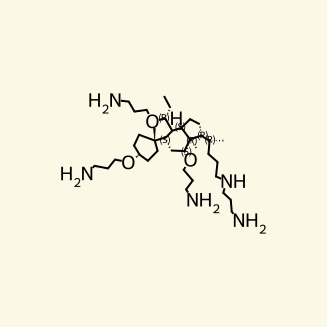 CC[C@@H](OCCCN)C1[C@@H]2CC[C@H]([C@H](C)CCCNCCCN)[C@@]2(C)[C@@H](OCCCN)C[C@@H]1[C@]1(C)CC[C@H](OCCCN)CC1